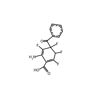 NC1=C(F)C(F)(C(=O)c2ccccc2)C(F)C(F)=C1C(=O)O